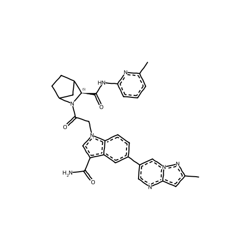 Cc1cccc(NC(=O)[C@@H]2C3CCC(C3)N2C(=O)Cn2cc(C(N)=O)c3cc(-c4cnc5cc(C)nn5c4)ccc32)n1